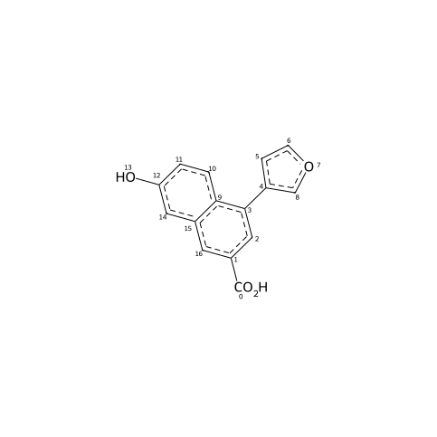 O=C(O)c1cc(-c2ccoc2)c2ccc(O)cc2c1